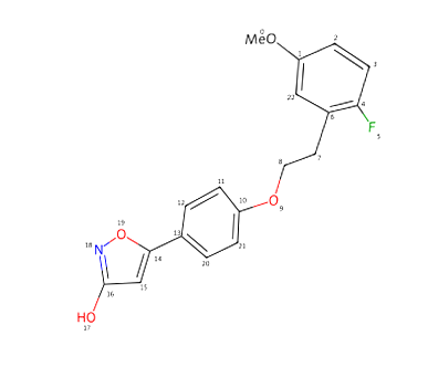 COc1ccc(F)c(CCOc2ccc(-c3cc(O)no3)cc2)c1